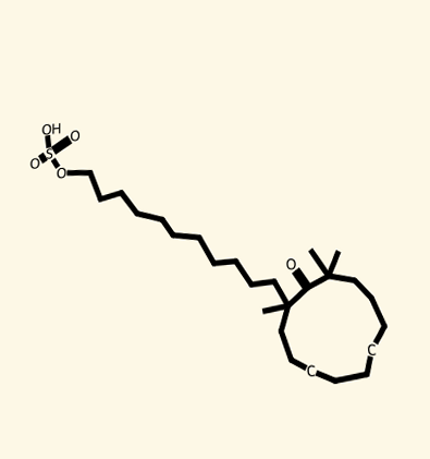 CC1(C)CCCCCCCCCC(C)(CCCCCCCCCCCOS(=O)(=O)O)C1=O